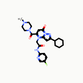 CN1CCN(C(=O)c2cc(=O)n3nc(C4CCCCC4)cc3n2CC(=O)Nc2ccc(F)cn2)CC1